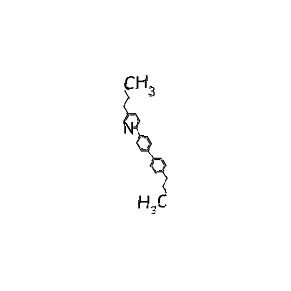 CCCCc1ccc(-c2ccc(-c3ccc(CCCC)cn3)cc2)cc1